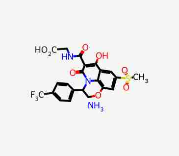 CS(=O)(=O)c1cc2c3c(c1)c(O)c(C(=O)NCC(=O)O)c(=O)n3C(c1ccc(C(F)(F)F)cc1)CO2.N